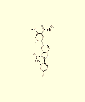 CNC(=O)c1c(-c2ccc(F)cc2)oc2ccc(-c3cc(C(=O)NC(C)(C)C)c(OC)cc3C)cc12